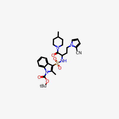 Cc1c(S(=O)(=O)NC(CCn2cccc2C#N)C(=O)N2CCC(C)CC2)c2ccccc2n1C(=O)OC(C)(C)C